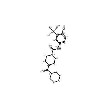 O=C(C1CCCCC1)N1CCN(C(=S)Nc2ccc(Cl)c(C(F)(F)F)c2)CC1